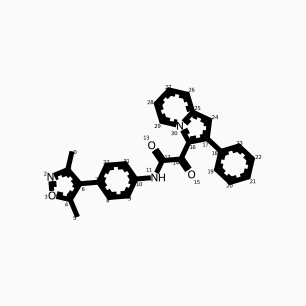 Cc1noc(C)c1-c1ccc(NC(=O)C(=O)c2c(-c3ccccc3)cc3ccccn23)cc1